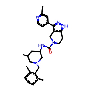 Cc1cc(-c2n[nH]c3c2CN(C(=O)NC2CC(C)CN(Cc4c(C)cccc4C)C2)CC3)ccn1